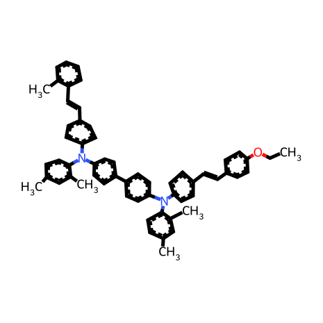 CCOc1ccc(/C=C/c2ccc(N(c3ccc(-c4ccc(N(c5ccc(/C=C/c6ccccc6C)cc5)c5ccc(C)cc5C)cc4)cc3)c3ccc(C)cc3C)cc2)cc1